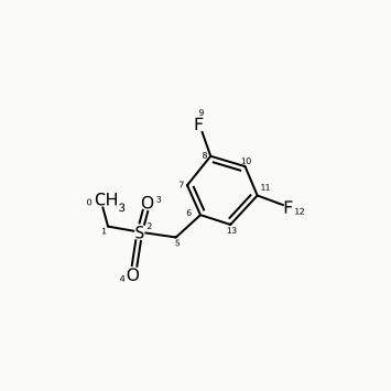 CCS(=O)(=O)Cc1cc(F)cc(F)c1